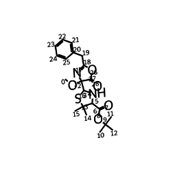 COC1(C2NC(C(=O)OC(C)(C)C)C(C)(C)S2)N=C(Cc2ccccc2)OC1=O